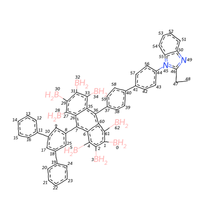 Bc1c(B)c(B)c2c(-c3cc(-c4ccccc4)cc(-c4ccccc4)c3)c3c(B)c(B)c(B)c(B)c3c(-c3ccc(-c4ccc(-n5c(CC)nc6ccccc65)cc4)cc3)c2c1B